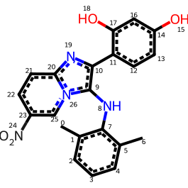 Cc1cccc(C)c1Nc1c(-c2ccc(O)cc2O)nc2ccc([N+](=O)[O-])cn12